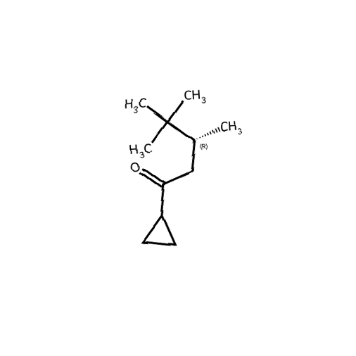 C[C@H](CC(=O)C1CC1)C(C)(C)C